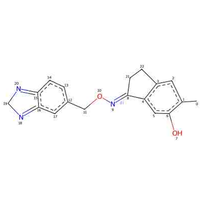 Cc1cc2c(cc1O)/C(=N/OCc1ccc3c(c1)=NCN=3)CC2